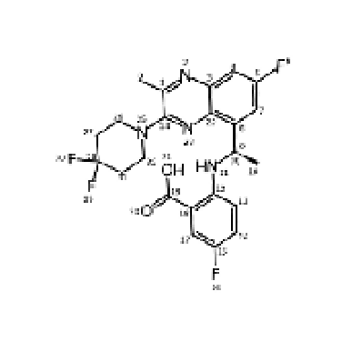 Cc1nc2cc(F)cc([C@@H](C)Nc3ccc(F)cc3C(=O)O)c2nc1N1CCC(F)(F)CC1